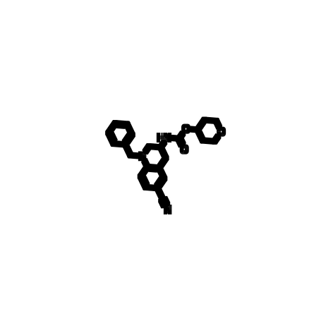 N#Cc1ccc2c(c1)CC(NC(=O)OC1CCOCC1)CN2Cc1ccccc1